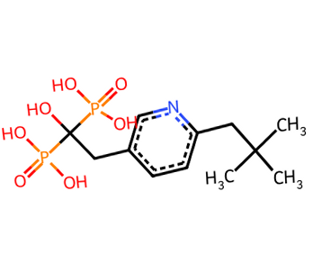 CC(C)(C)Cc1ccc(CC(O)(P(=O)(O)O)P(=O)(O)O)cn1